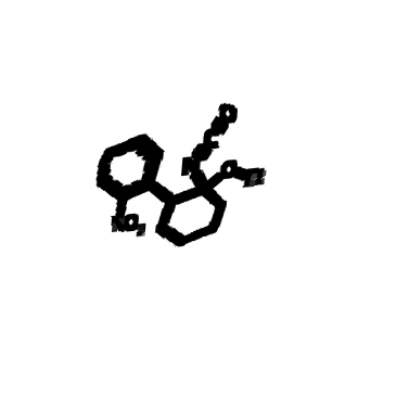 CCOC1(N=C=O)CCCCC1c1ccccc1[N+](=O)[O-]